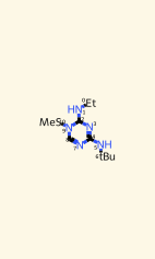 CCNC1N=C(NC(C)(C)C)N=CN1SC